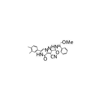 COC[C@@H](NC(=O)c1nn2cc(-c3ccc(C)c(C)c3)[nH]c(=O)c2c1C#N)c1ccccc1